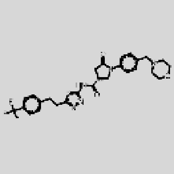 O=C(Nc1nnc(CCc2ccc(C(F)(F)F)cc2)s1)[C@H]1CC(=O)N(c2ccc(CN3CCOCC3)cc2)C1